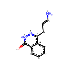 NC=CCc1n[nH]c(=O)c2ccccc12